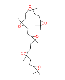 CC1(C)OC1CCC1(C)OC1CCC1(C)OC1CCC1OC1(C)CCC1OC1(C)CCC1OC1(C)C